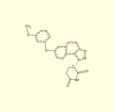 COc1cccc(Oc2ccc3c(ccc4onc([C@H]5CCC(=O)NC5=O)c43)c2)c1